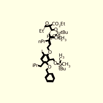 C=C(C[C@@H](O[Si](C)(C)C(C)(C)C)C1(C(=O)OCC)O[C@H]1CC)/C(=C/COc1c(I)cc(CC(C)C)c(OCc2ccccc2)c1CO[Si](C)(C)C(C)(C)C)CCC